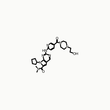 CN(C)C(=O)c1cc2cnc(Nc3ccc(C(=O)N4CCN(CCO)CC4)cn3)nc2n1C1CCCC1